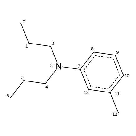 CCCN(CCC)c1cccc(C)c1